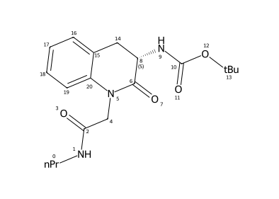 CCCNC(=O)CN1C(=O)[C@@H](NC(=O)OC(C)(C)C)Cc2ccccc21